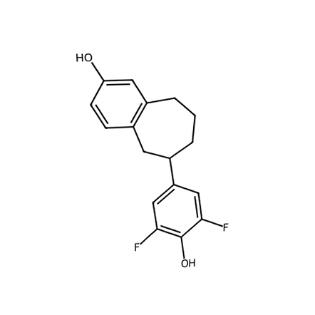 Oc1ccc2c(c1)CCCC(c1cc(F)c(O)c(F)c1)C2